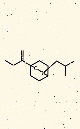 C=C(CC)C12CCC(CC1)N(CC(C)C)C2